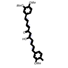 COc1cc(/C=C/C=C/C(O)=C/C(=O)/C=C/C=C/c2ccc(OC)c(OC)c2)ccc1C